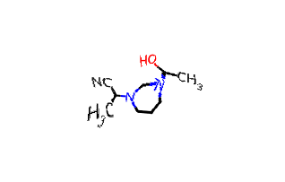 CC(O)N1CCCN(C(C)C#N)C1